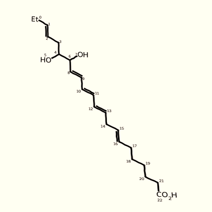 CCC=CCC(O)C(O)C=CC=CC=CCC=CCCCCCC(=O)O